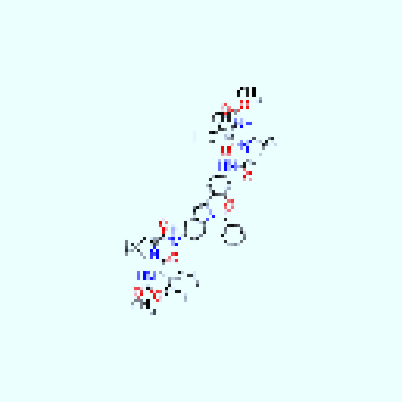 COC(=O)NC(C(=O)N1CC2(CC2)C[C@H]1C(=O)Nc1ccc2c(c1)cc1n2C(c2ccccc2)Oc2cc(NC(=O)[C@@H]3CC4(CC4)CN3C(=O)[C@@H](NC(=O)OC)C(C)C)ccc2-1)C(C)C